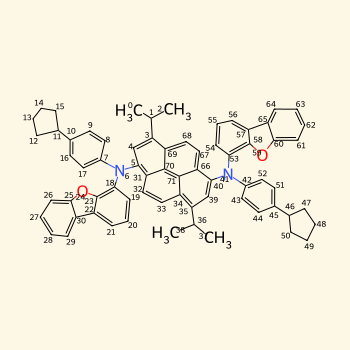 CC(C)c1cc(N(c2ccc(C3CCCC3)cc2)c2cccc3c2oc2ccccc23)c2ccc3c(C(C)C)cc(N(c4ccc(C5CCCC5)cc4)c4cccc5c4oc4ccccc45)c4ccc1c2c34